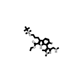 CCOC(=O)c1[nH]c2c(-c3c(CNC)nn(C)c3C)c(F)ccc2c1CCCO[Si](C)(C)C(C)(C)C